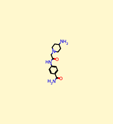 NC(=O)c1ccc(NC(=O)CN2CCC(N)CC2)cc1